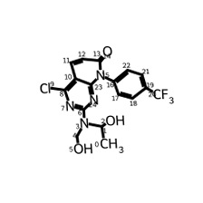 CC(O)N(CO)c1nc(Cl)c2ccc(=O)n(-c3ccc(C(F)(F)F)cc3)c2n1